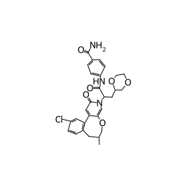 CC1COc2cn(C(CC3COCCO3)C(=O)Nc3ccc(C(N)=O)cc3)c(=O)cc2-c2cc(Cl)ccc2C1